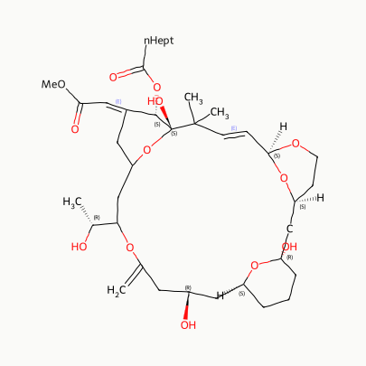 C=C1C[C@H](O)C[C@@H]2CCC[C@](O)(C[C@@H]3CCO[C@H](/C=C/C(C)(C)[C@]4(O)OC(C/C(=C\C(=O)OC)[C@@H]4OC(=O)CCCCCCC)CC([C@@H](C)O)O1)O3)O2